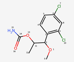 COC(c1ccc(Cl)cc1Cl)C(C)OC(N)=O